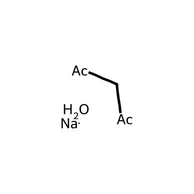 CC(=O)CC(C)=O.O.[Na]